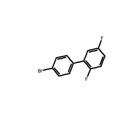 Fc1ccc(F)c(-c2ccc(Br)cc2)c1